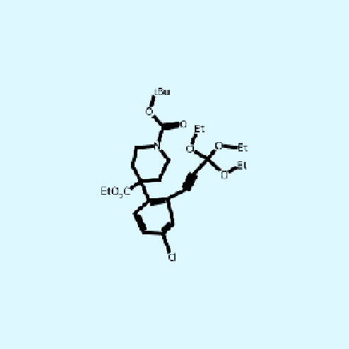 CCOC(=O)C1(c2ccc(Cl)cc2C#CC(OCC)(OCC)OCC)CCN(C(=O)OC(C)(C)C)CC1